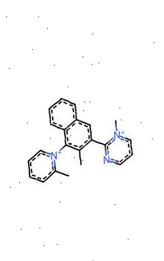 Cc1c(-c2nccc[n+]2C)cc2ccccc2c1-[n+]1ccccc1C